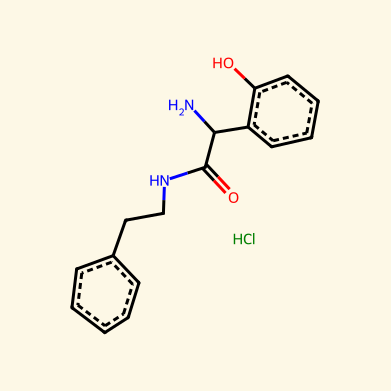 Cl.NC(C(=O)NCCc1ccccc1)c1ccccc1O